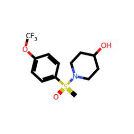 C=S(=O)(c1ccc(OC(F)(F)F)cc1)N1CCC(O)CC1